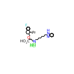 CC(C)[C@@H]1c2ccc(F)cc2CCC1CO[C@@H](CCN(C)CCCCCCCc1nc2ccccc2[nH]1)C(=O)O.Cl.Cl